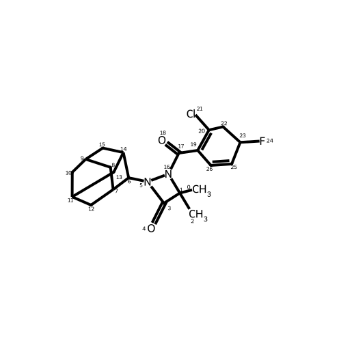 CC1(C)C(=O)N(C2C3CC4CC(C3)CC2C4)N1C(=O)C1=C(Cl)CC(F)C=C1